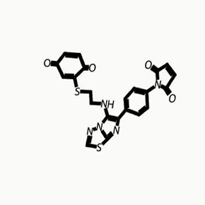 O=C1C=CC(=O)C(SCCNc2c(-c3ccc(N4C(=O)C=CC4=O)cc3)nc3scnn23)=C1